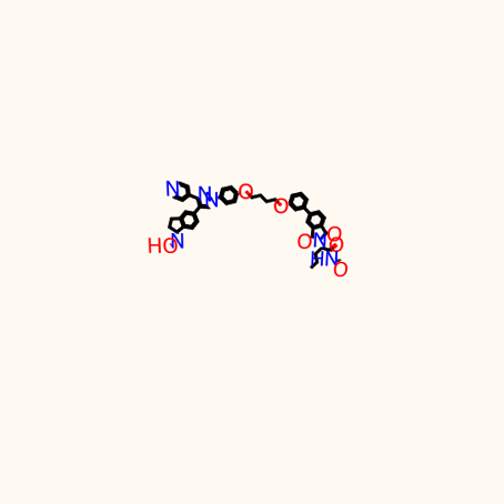 CCCC(C(=O)NC=O)N1C(=O)c2ccc(-c3cccc(OCCCCOc4ccc(-n5cc(-c6ccc7c(c6)CC/C7=N\O)c(-c6ccncc6)n5)cc4)c3)cc2C1=O